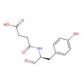 O=[C][C@H](Cc1ccc(O)cc1)NC(=O)CCC(=O)O